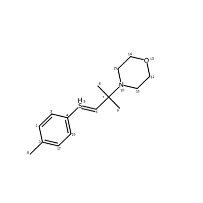 Cc1ccc([SH]=CC(C)(C)N2CCOCC2)cc1